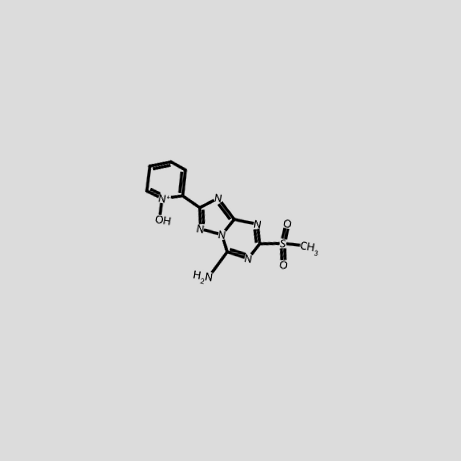 CS(=O)(=O)c1nc(N)n2nc(-c3cccc[n+]3O)nc2n1